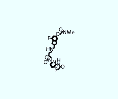 CNC(=O)COc1cc(F)c2c(c1)CC(CNCCC1CN(c3ccc4c(n3)NC(=O)CS4)C(=O)O1)C2